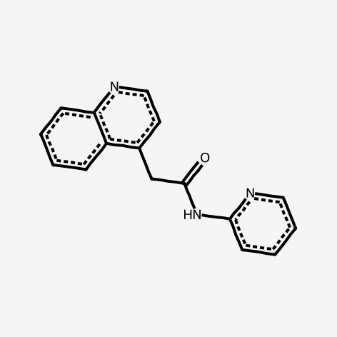 O=C(Cc1ccnc2ccccc12)Nc1ccccn1